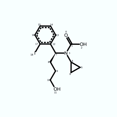 O=C(O)N(C1CC1)[C@@H](CCCO)c1ccccc1I